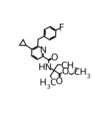 CCOC(=O)C(CC)(CC)NC(=O)c1ccc(C2CC2)c(Cc2ccc(F)cc2)n1